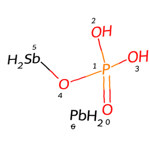 O=P(O)(O)[O][SbH2].[PbH2]